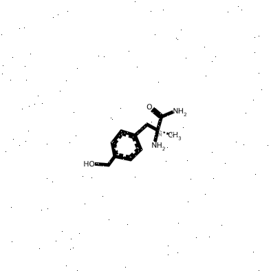 C[C@](N)(Cc1ccc(CO)cc1)C(N)=O